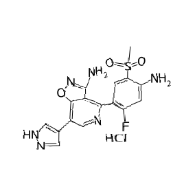 CS(=O)(=O)c1cc(-c2ncc(-c3cn[nH]c3)c3onc(N)c23)c(F)cc1N.Cl